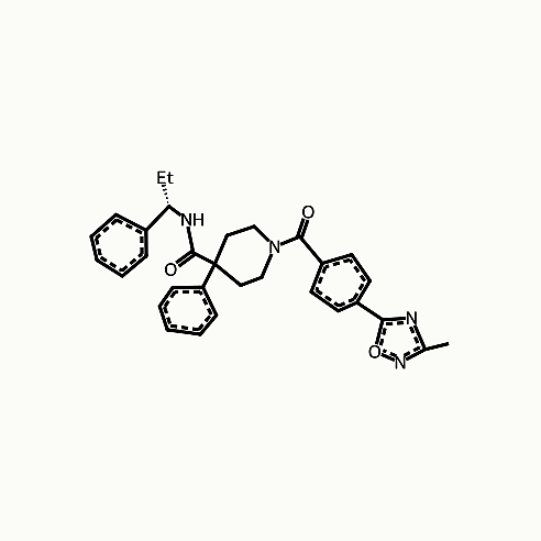 CC[C@H](NC(=O)C1(c2ccccc2)CCN(C(=O)c2ccc(-c3nc(C)no3)cc2)CC1)c1ccccc1